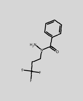 NN(CCC(F)(F)F)C(=O)c1ccccc1